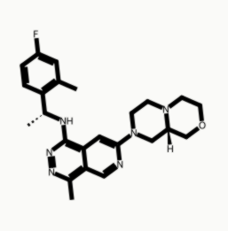 Cc1cc(F)ccc1[C@@H](C)Nc1nnc(C)c2cnc(N3CCN4CCOC[C@@H]4C3)cc12